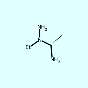 CCN(N)[C@H](C)N